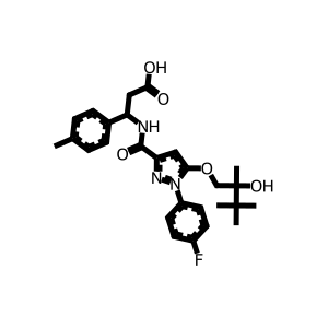 Cc1ccc(C(CC(=O)O)NC(=O)c2cc(OCC(C)(O)C(C)(C)C)n(-c3ccc(F)cc3)n2)cc1